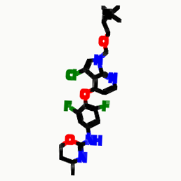 CC1CCOC(Nc2cc(F)c(Oc3ccnc4c3c(Cl)cn4COCC[Si](C)(C)C)c(F)c2)=N1